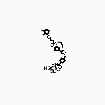 Cc1c(Cl)cccc1OCCCC(=O)N1CCCOc2c(-c3cnn(Cc4ccc(C(=O)N[C@@H](CC(=O)O)C(=O)O)cc4)c3)cccc21